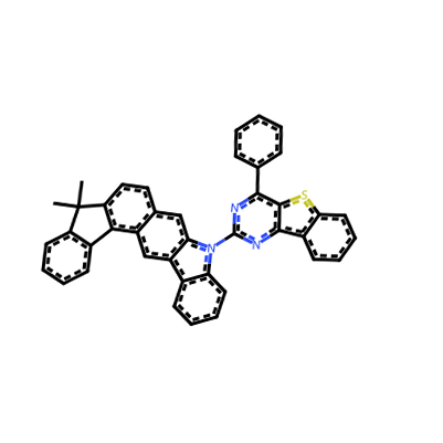 CC1(C)c2ccccc2-c2c1ccc1cc3c(cc21)c1ccccc1n3-c1nc(-c2ccccc2)c2sc3ccccc3c2n1